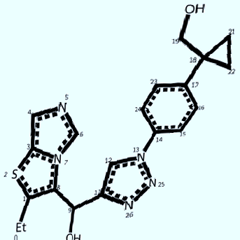 CCc1sc2cncn2c1C(O)c1cn(-c2ccc(C3(CO)CC3)cc2)nn1